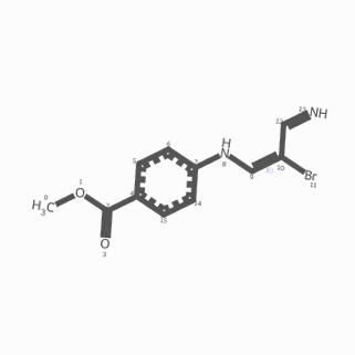 COC(=O)c1ccc(N/C=C(/Br)C=N)cc1